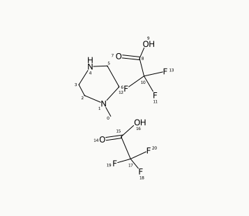 CN1CCNCC1.O=C(O)C(F)(F)F.O=C(O)C(F)(F)F